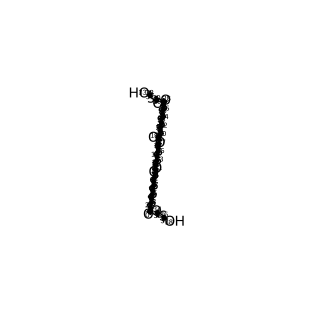 O=C(CSCSCSCCOOCSCSCOC(=O)CSCSCSCC(=O)OCSCO)OCSCO